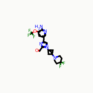 Nc1ncc(-c2cn(C34CC(N5CCC(F)(F)CC5)(C3)C4)c(C=O)n2)cc1OC(F)(F)F